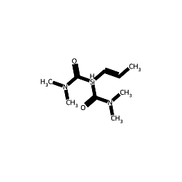 CC=C[SiH](C(=O)N(C)C)C(=O)N(C)C